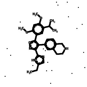 CCc1cnc(-c2noc(-c3cc(C(C)C)c(OC)cc3OC)c2-c2ccc3c(c2)CCNC3)[nH]1